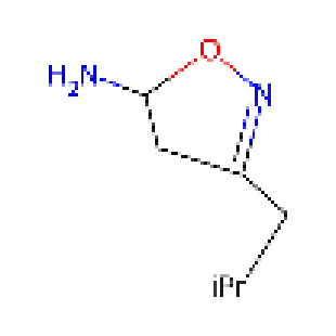 CC(C)CC1=NOC(N)C1